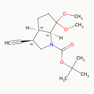 C#C[C@@H]1CN(C(=O)OC(C)(C)C)[C@H]2[C@@H]1CCC2(OC)OC